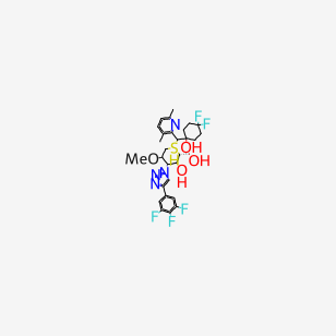 CO[C@H]1C[SH](C(c2nc(C)ccc2C)C2(O)CCC(F)(F)CC2)[C@H](CO)[C@H](O)[C@@H]1n1cc(-c2cc(F)c(F)c(F)c2)nn1